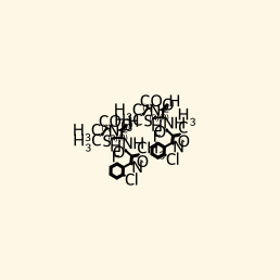 Cc1onc(-c2c(F)cccc2Cl)c1C(=O)N[C@@H]1C(=O)N2[C@@H]1SC(C)(C)[C@@H]2C(=O)O.Cc1onc(-c2c(F)cccc2Cl)c1C(=O)N[C@@H]1C(=O)N2[C@@H]1SC(C)(C)[C@@H]2C(=O)O